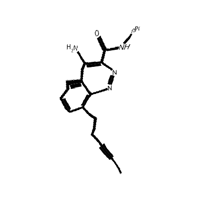 CC#CCCc1cccc2c(N)c(C(=O)NCCC)nnc12